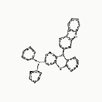 c1ccc(N(c2ccccc2)c2ccc3c(c2)Sc2ccccc2N3c2ccc3c(c2)sc2ccccc23)cc1